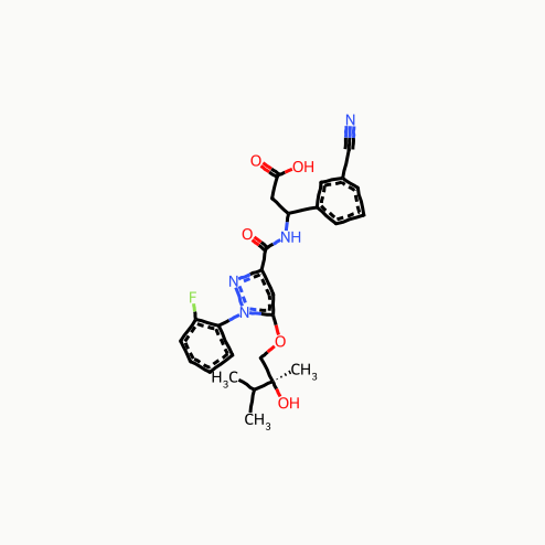 CC(C)[C@](C)(O)COc1cc(C(=O)NC(CC(=O)O)c2cccc(C#N)c2)nn1-c1ccccc1F